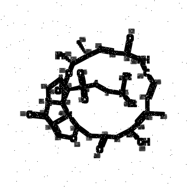 CCN(CC)CCS(=O)(=O)[C@@H]1CCN2C(=O)C3=COC4CC(=O)C[C@H](O)/C=C(C)/C=C/CNC(=O)/C=C/[C@@H](C)[C@@H](C(C)C)OC(=O)[C@]12N34